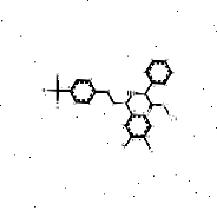 CNC(=O)[C@@H](N[C@H](CCc1ccc(C(F)(F)F)cc1)c1ccc(F)c(Cl)c1)c1ccccc1